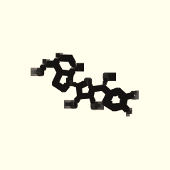 O/N=C1/N=CNC2C1CCN2[C@@H]1O[C@H]([C@H](O)c2ccc(F)c(Cl)c2)[C@@H](O)[C@H]1O